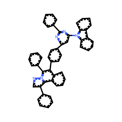 c1ccc(-c2nc(-c3ccc(-c4c(-c5ccccc5)n5ncc(-c6ccccc6)c5c5ccccc45)cc3)cc(-n3c4ccccc4c4ccccc43)n2)cc1